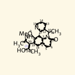 COc1cc2c(ccc(=O)n2C(C)c2cccnc2)cc1/C(C(C)=N)=C(\C)O